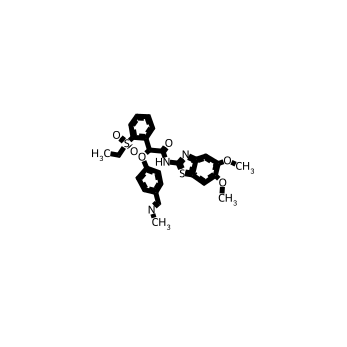 CCS(=O)(=O)c1ccccc1C(Oc1ccc(/C=N/C)cc1)C(=O)Nc1nc2cc(OC)c(OC)cc2s1